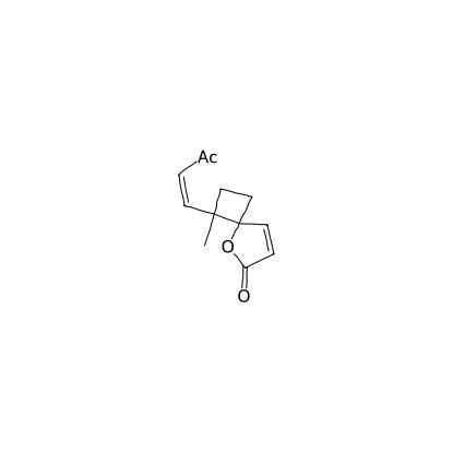 CC(=O)/C=C\C1(C)CCC12C=CC(=O)O2